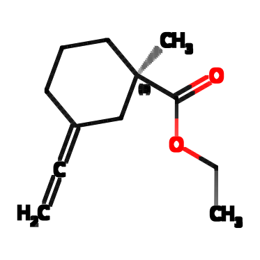 C=C=C1CCC[C@@](C)(C(=O)OCC)C1